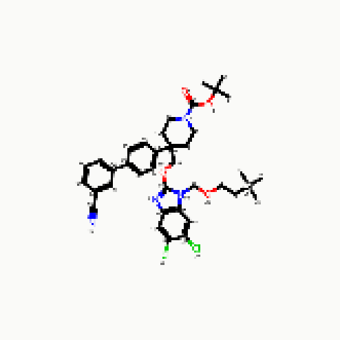 CC(C)(C)OC(=O)N1CCC(COc2nc3cc(Cl)c(Cl)cc3n2COCC[Si](C)(C)C)(c2ccc(-c3cccc(C#N)c3)cc2)CC1